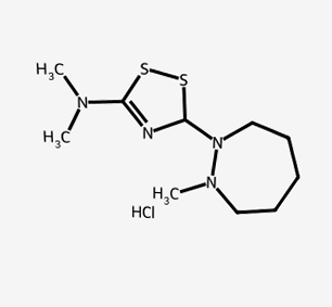 CN(C)C1=NC(N2CCCCCN2C)SS1.Cl